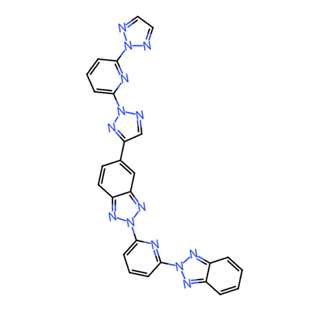 c1cc(-n2nccn2)nc(-n2ncc(-c3ccc4nn(-c5cccc(-n6nc7ccccc7n6)n5)nc4c3)n2)c1